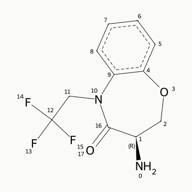 N[C@@H]1COc2ccccc2N(CC(F)(F)F)C1=O